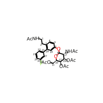 CC(=O)NCCc1ccc(OC2O[C@H](COC(C)=O)[C@H](OC(C)=O)[C@H](OC(C)=O)[C@H]2NC(C)=O)cc1-c1cccc(F)c1